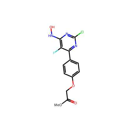 COC(=O)COc1ccc(-c2nc(Cl)nc(NO)c2F)cc1